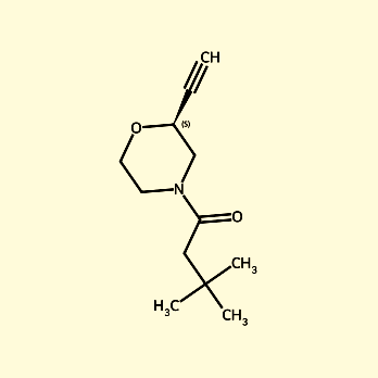 C#C[C@H]1CN(C(=O)CC(C)(C)C)CCO1